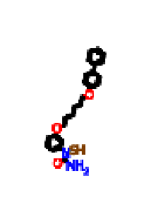 NC(=O)N(S)c1cccc(OCCCCCCOc2ccc(-c3ccccc3)cc2)c1